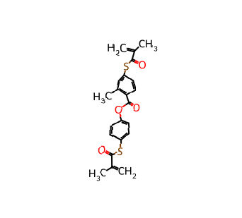 C=C(C)C(=O)Sc1ccc(OC(=O)c2ccc(SC(=O)C(=C)C)cc2C)cc1